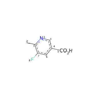 Cc1ncc(C(=O)O)cc1F